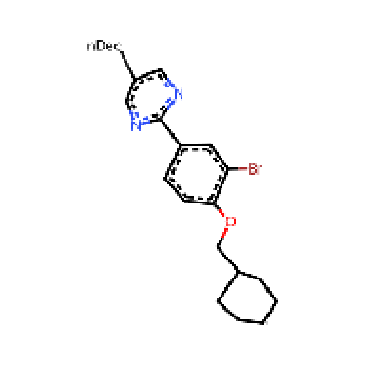 CCCCCCCCCCc1cnc(-c2ccc(OCC3CC[CH]CC3)c(Br)c2)nc1